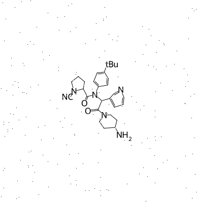 CC(C)(C)c1ccc(N(C(=O)C2CCCN2C#N)C(C(=O)N2CCC(N)CC2)c2cccnc2)cc1